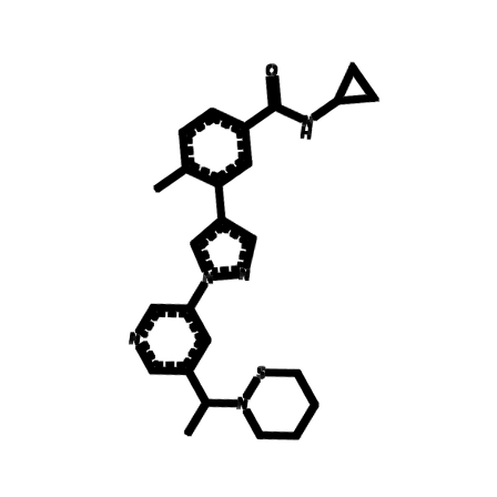 Cc1ccc(C(=O)NC2CC2)cc1-c1cnn(-c2cncc(C(C)N3CCCCS3)c2)c1